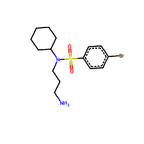 NCCCN(C1CCCCC1)S(=O)(=O)c1ccc(Br)cc1